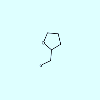 [S]CC1CCCO1